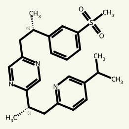 CC(C)c1ccc(C[C@H](C)c2cnc(C[C@H](C)c3cccc(S(C)(=O)=O)c3)cn2)nc1